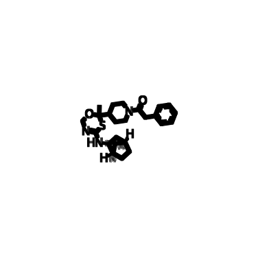 CC1(C2CCN(C(=O)Cc3ccccc3)CC2)OCN=C(N[C@H]2C[C@@H]3CC[C@H]2C3)S1